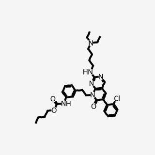 CCCCOC(=O)Nc1cccc(CCn2c(=O)c(-c3ccccc3Cl)cc3cnc(NCCCCN(CC)CC)nc32)c1